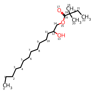 CCCCCCCCCCCCC(O)COC(=O)C(C)(C)CC